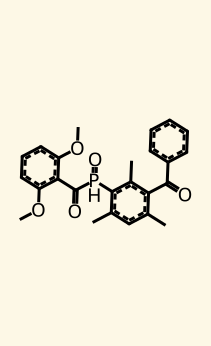 COc1cccc(OC)c1C(=O)[PH](=O)c1c(C)cc(C)c(C(=O)c2ccccc2)c1C